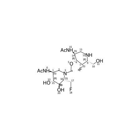 CC(=O)N[C@H]1CN(CO[C@H]2[C@@H](F)[C@@H](CO)NC[C@@H]2NC(C)=O)[C@H](CF)[C@@H](O)[C@@H]1O